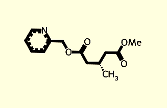 COC(=O)C[C@H](C)CC(=O)OCc1ccccn1